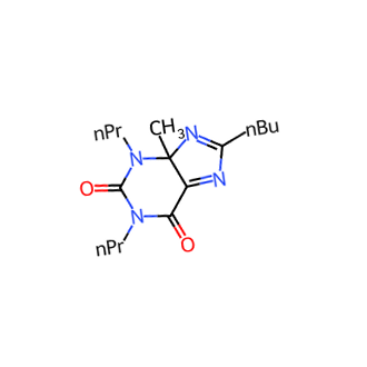 CCCCC1=NC2(C)C(=N1)C(=O)N(CCC)C(=O)N2CCC